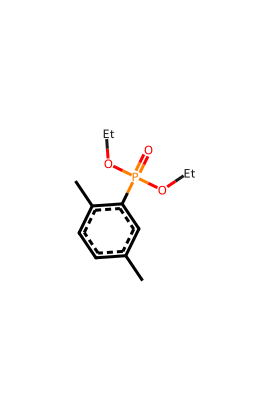 CCOP(=O)(OCC)c1cc(C)ccc1C